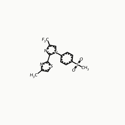 Cc1csc(-c2nc(C(F)(F)F)cn2-c2ccc(S(C)(=O)=O)cc2)n1